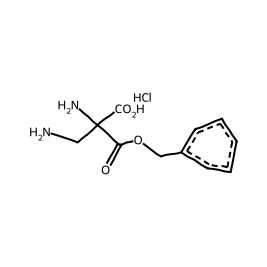 Cl.NCC(N)(C(=O)O)C(=O)OCc1ccccc1